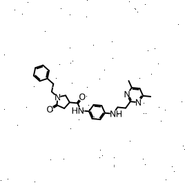 Cc1cc(C)nc(CCNc2ccc(NC(=O)C3CC(=O)N(CCc4ccccc4)C3)cc2)n1